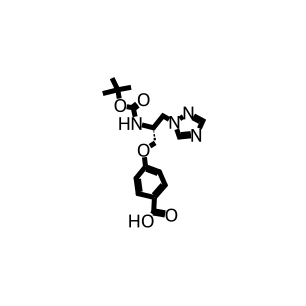 CC(C)(C)OC(=O)N[C@@H](COc1ccc(C(=O)O)cc1)Cn1cncn1